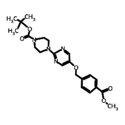 COC(=O)c1ccc(COc2cnc(N3CCN(C(=O)OC(C)(C)C)CC3)nc2)cc1